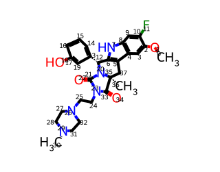 COc1cc2c3c([nH]c2cc1F)[C@@H](c1cccc(O)c1)N1C(=O)N(CCN2CCN(C)CC2)C(=O)[C@]1(C)C3